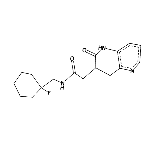 O=C(CC1Cc2ncccc2NC1=O)NCC1(F)CCCCC1